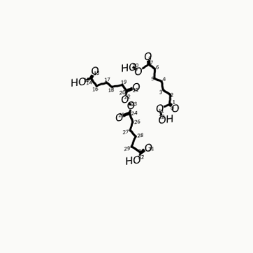 O=C(CCCCCC(=O)OO)OO.O=C(O)CCCCC(=O)OOC(=O)CCCCC(=O)O